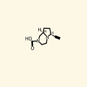 C#C[C@@H]1CC[C@@H]2CN(C(=O)O)CCN21